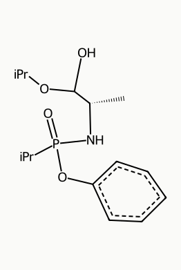 CC(C)OC(O)[C@H](C)NP(=O)(Oc1ccccc1)C(C)C